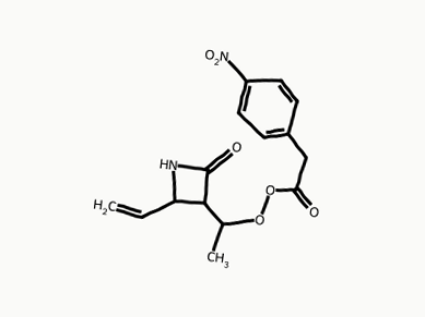 C=CC1NC(=O)C1C(C)OOC(=O)Cc1ccc([N+](=O)[O-])cc1